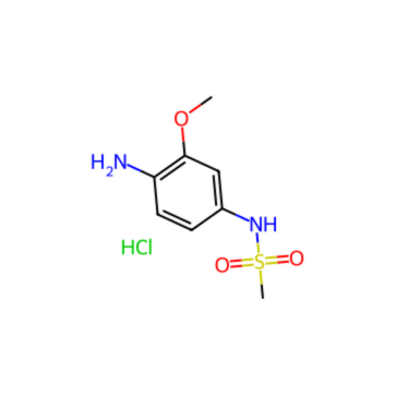 COc1cc(NS(C)(=O)=O)ccc1N.Cl